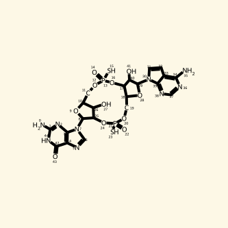 Nc1nc2c(ncn2C2OC3COP(=O)(S)OC4C(COP(=O)(S)OC2C3O)OC(n2ccc3c(N)ncnc32)C4O)c(=O)[nH]1